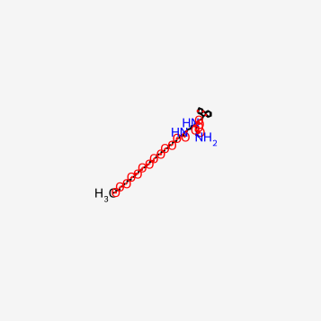 COCCOCCOCCOCCOCCOCCOCCOCCOCCOCCOCCOCCC(=O)NCCCCC(NC(=O)OCC1c2ccccc2-c2ccccc21)C(=O)OC(=O)CN